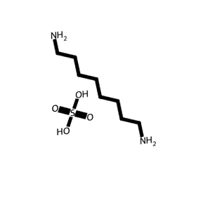 NCCCCCCCCN.O=S(=O)(O)O